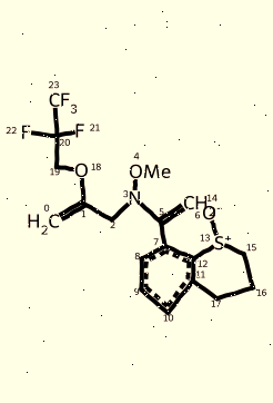 C=C(CN(OC)C(=C)c1cccc2c1[S+]([O-])CCC2)OCC(F)(F)C(F)(F)F